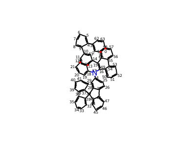 c1ccc(-c2ccccc2-c2cccc(-c3c(N(c4ccccc4)c4ccc5c(c4)C(c4ccccc4)(c4ccccc4)c4ccccc4-5)c4ccccc4c4ccccc34)c2)cc1